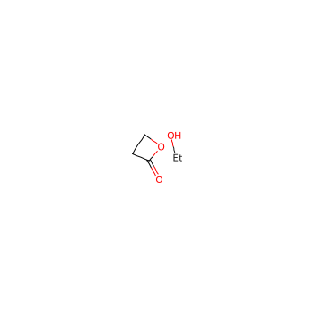 CCO.O=C1CCO1